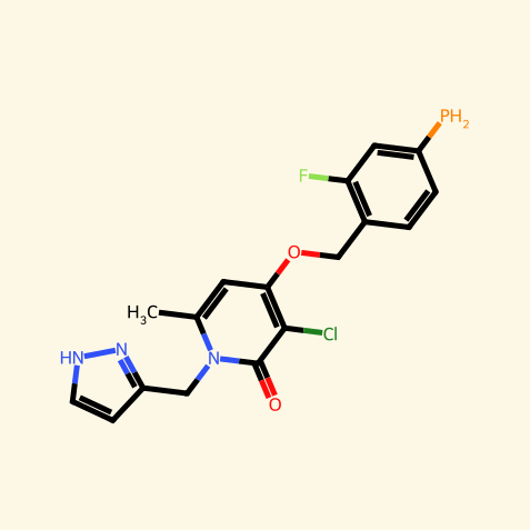 Cc1cc(OCc2ccc(P)cc2F)c(Cl)c(=O)n1Cc1cc[nH]n1